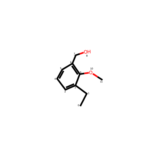 CCc1cccc([CH]O)c1OC